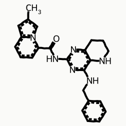 Cc1cc2cccc(C(=O)Nc3nc4c(c(NCc5ccccc5)n3)NCCC4)n2c1